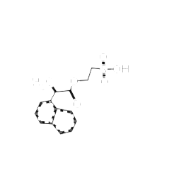 C=C(C(=O)OCCS(=O)(=O)O)c1cccc2ccccc12